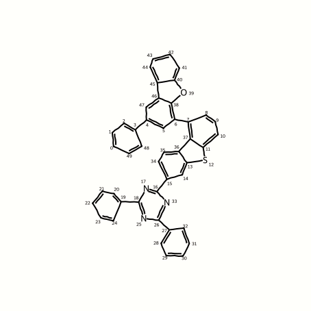 c1ccc(-c2cc(-c3cccc4sc5cc(-c6nc(-c7ccccc7)nc(-c7ccccc7)n6)ccc5c34)c3oc4ccccc4c3c2)cc1